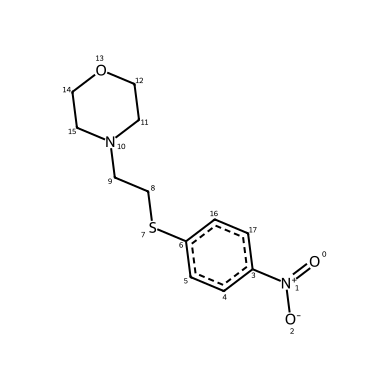 O=[N+]([O-])c1ccc(SCCN2CCOCC2)cc1